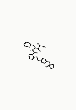 NC(=O)C(=O)C(Cc1ccccc1)NC(=O)c1ccccc1C=Cc1ccc(CN2CCCC2=O)cc1